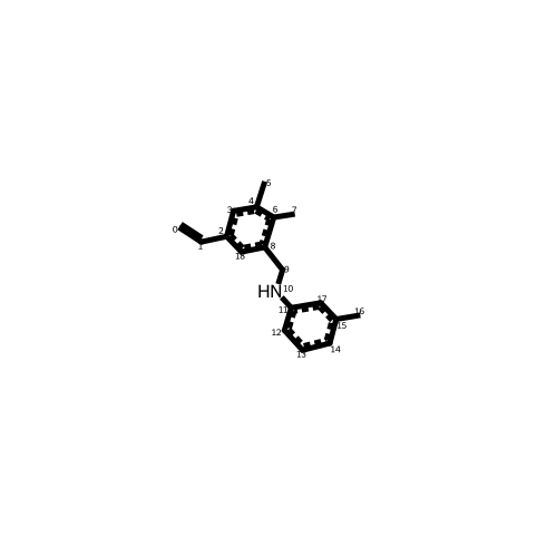 C=Cc1cc(C)c(C)c(CNc2cccc(C)c2)c1